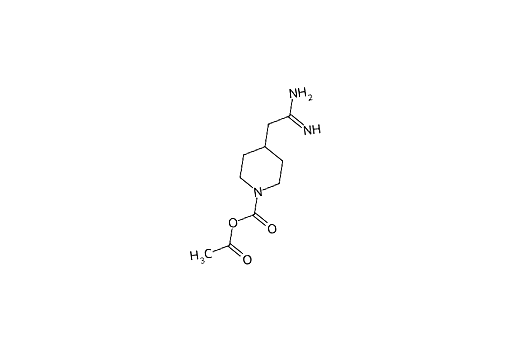 CC(=O)OC(=O)N1CCC(CC(=N)N)CC1